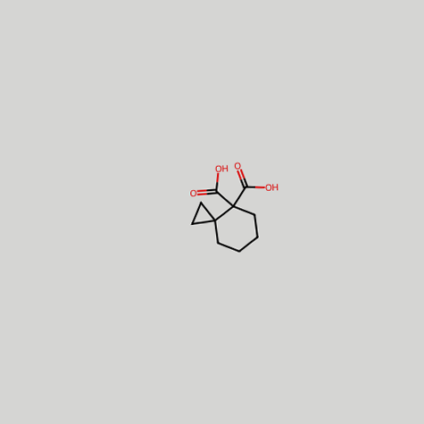 O=C(O)C1(C(=O)O)CCCCC12CC2